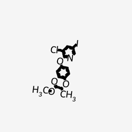 COC(=O)C(C)Oc1ccc(Oc2ncc(I)cc2Cl)cc1